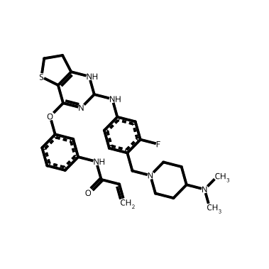 C=CC(=O)Nc1cccc(OC2=NC(Nc3ccc(CN4CCC(N(C)C)CC4)c(F)c3)NC3=C2SCC3)c1